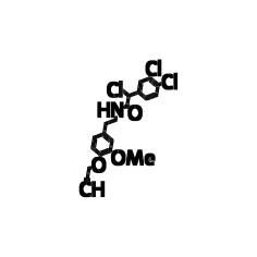 C#CCOc1ccc(CCNC(=O)C(Cl)c2ccc(Cl)c(Cl)c2)cc1OC